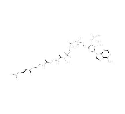 CC(C)(COP(=O)(O)OP(=O)(O)OC[C@H]1O[C@@H](n2cnc3c(N)ncnc32)[C@H](O)[C@@H]1OP(=O)(O)O)[C@@H](O)C(=O)NCCC(=O)NCCSC(=O)C=CC[N+](=O)[O-]